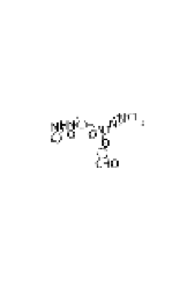 Cc1cc(CC(=O)N2C[C@@H](N3CCN(CC(F)(F)F)CC3)C[C@H]2CO[C@H]2CC[C@H](C=O)CC2)ccc1NC(=O)c1cn(C)c2ccccc12